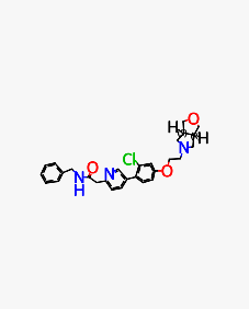 O=C(Cc1ccc(-c2ccc(OCCN3C[C@H]4COC[C@H]4C3)cc2Cl)cn1)NCc1ccccc1